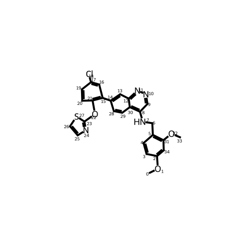 COc1ccc(CNc2cnnc3cc(-c4cc(Cl)ccc4Oc4nccs4)ccc23)c(OC)c1